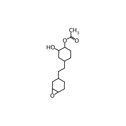 CC(=O)OC1CCC(CCC2CCC3OC3C2)CC1O